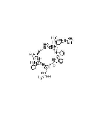 CC(=O)N[C@@H](CCCNC(=N)N)C(=O)N[C@H]1CC(=O)NCCCCC(C(N)=O)NC(=O)[C@H](Cc2c[nH]c3ccccc23)NC(=O)[C@H](CCCNC(=N)N)NC(=O)[C@@H](Cc2ccccc2)NC(=O)C2(Cc3ccccc3C2)NC1=O